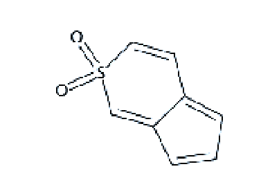 O=S1(=O)C=CC2=CC=CC2=C1